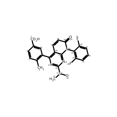 Cc1ccc(C(=O)O)cc1-c1nc([S+](C)[O-])nc2c1ccc(=O)n2-c1c(F)cccc1F